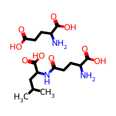 CC(C)CC(NC(=O)CCC(N)C(=O)O)C(=O)O.NC(CCC(=O)O)C(=O)O